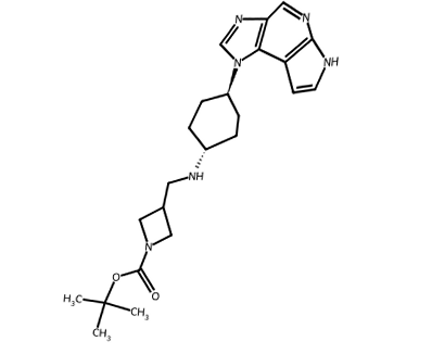 CC(C)(C)OC(=O)N1CC(CN[C@H]2CC[C@H](n3cnc4cnc5[nH]ccc5c43)CC2)C1